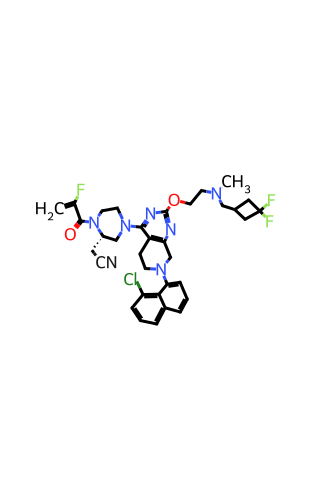 C=C(F)C(=O)N1CCN(c2nc(OCCN(C)CC3CC(F)(F)C3)nc3c2CCN(c2cccc4cccc(Cl)c24)C3)C[C@@H]1CC#N